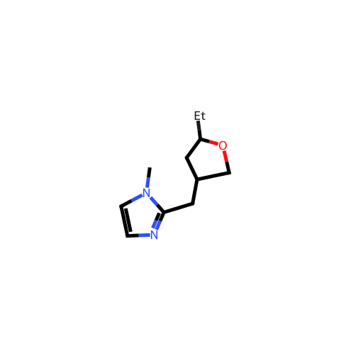 CCC1CC(Cc2nccn2C)CO1